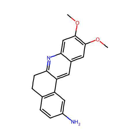 COc1cc2cc3c(nc2cc1OC)CCc1ccc(N)cc1-3